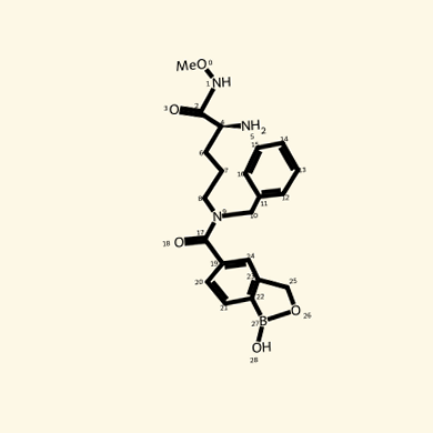 CONC(=O)[C@@H](N)CCCN(Cc1ccccc1)C(=O)c1ccc2c(c1)COB2O